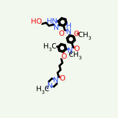 COc1cc(C(=O)N(C)c2ccc(C)cc2OCCCCCC(=O)N2CCN(C)CC2)ccc1NC(=O)c1cccc2[nH]c(CCCO)nc12